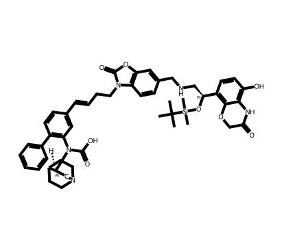 CC(C)(C)[Si](C)(C)O[C@@H](CNCc1ccc2c(c1)oc(=O)n2CCC=Cc1ccc(-c2ccccc2)c(N(C(=O)O)[C@H]2CN3CCC2CC3)c1)c1ccc(O)c2c1OCC(=O)N2